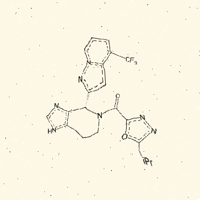 CC(C)c1nnc(C(=O)N2CCc3[nH]cnc3[C@@H]2c2cc3c(C(F)(F)F)cccn3n2)o1